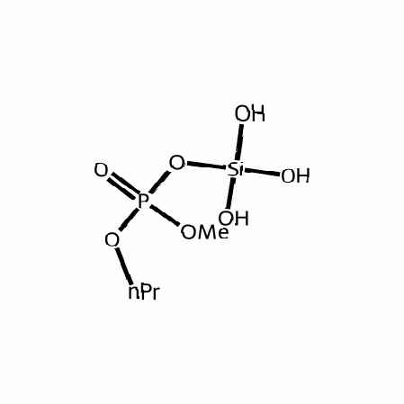 CCCOP(=O)(OC)O[Si](O)(O)O